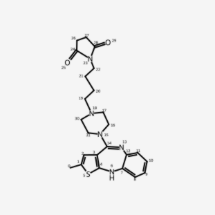 Cc1cc2c(s1)Nc1ccccc1N=C2N1CCN(CCCCN2C(=O)CCC2=O)CC1